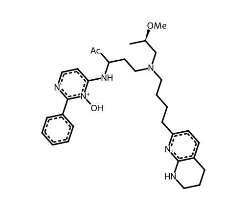 CO[C@H](C)CN(CCCCc1ccc2c(n1)NCCC2)CCC(Nc1ccnc(-c2ccccc2)[n+]1O)C(C)=O